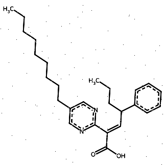 CCCCCCCCCc1cnc(/C(=C\C(CCC)c2ccccc2)C(=O)O)nc1